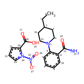 CCC1CCN(c2ccccc2C(N)=O)CC1.O=C(O)c1cccn1[N+](=O)[O-]